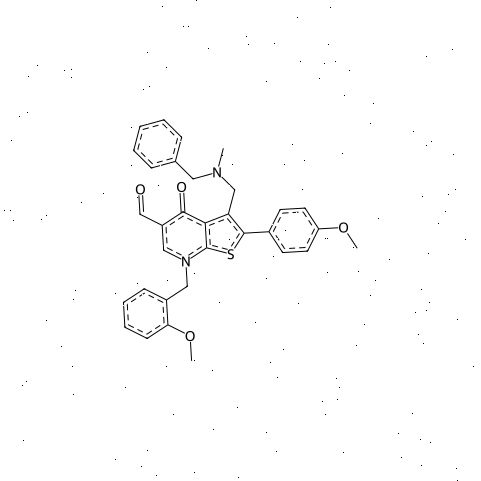 COc1ccc(-c2sc3c(c2CN(C)Cc2ccccc2)c(=O)c(C=O)cn3Cc2ccccc2OC)cc1